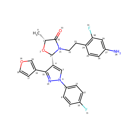 C[C@H]1O[C@@H](c2cn(-c3ccc(F)cc3)nc2-c2ccoc2)N(CCc2ccc(N)cc2F)C1=O